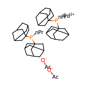 CC(=O)[O-].CC(=O)[O-].CCCP(C12CC3CC(CC(C3)C1)C2)C12CC3CC(CC(C3)C1)C2.CCCP(C12CC3CC(CC(C3)C1)C2)C12CC3CC(CC(C3)C1)C2.[Pd+2]